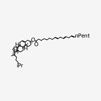 CCCCCC=CCC=CCC=CCCCCCCC(=O)O[C@H]1CC[C@@]2(C)C(=CC[C@H]3[C@@H]4CC[C@H]([C@H](C)CCCC(C)C)[C@@]4(C)CC[C@@H]32)C1